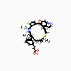 Cn1nc2nc1-c1cc(ccc1F)C(=O)c1c(F)cc3[nH]ccc3c1CCSCC(C)(C)CCCC2(C)c1cccc(CCC(=O)O)c1